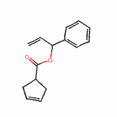 C=CC(OC(=O)C1CC=CC1)c1ccccc1